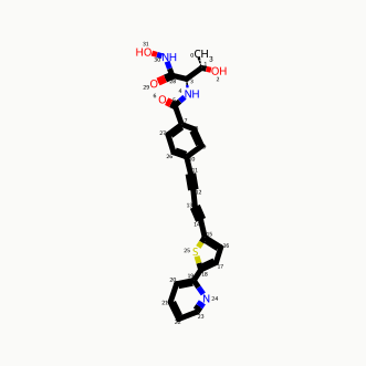 C[C@H](O)[C@H](NC(=O)c1ccc(C#CC#Cc2ccc(-c3ccccn3)s2)cc1)C(=O)NO